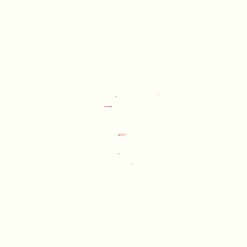 CCCCC1(OC(=O)COC(=O)C(F)(F)SOOO)CC2CCC1C2